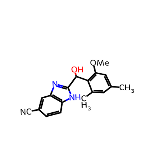 COc1cc(C)cc(C)c1C(O)c1nc2cc(C#N)ccc2[nH]1